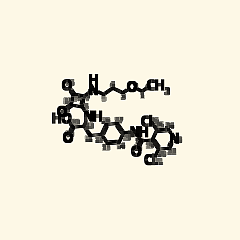 CCOCCCNc1c(N[C@@H](Cc2ccc(NC(=O)c3c(Cl)cncc3Cl)cc2)C(=O)O)c(=O)c1=O